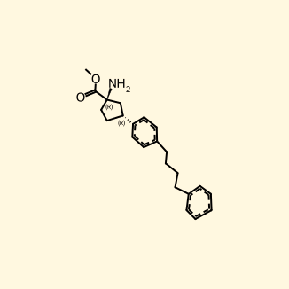 COC(=O)[C@@]1(N)CC[C@@H](c2ccc(CCCCc3ccccc3)cc2)C1